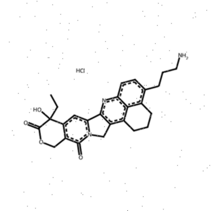 CCC1(O)C(=O)OCc2c1cc1n(c2=O)Cc2c-1nc1ccc(CCCN)c3c1c2CCC3.Cl